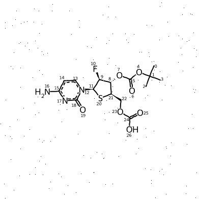 CC(C)(C)OC(=O)O[C@H]1[C@H](F)[C@H](n2ccc(N)nc2=O)S[C@@H]1COC(=O)O